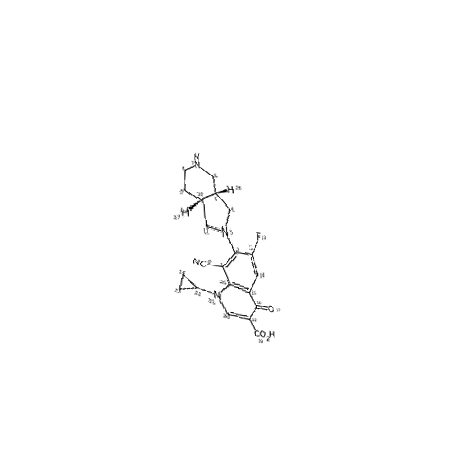 N#Cc1c(N2C[C@H]3CNCC[C@H]3C2)c(F)cc2c(=O)c(C(=O)O)cn(C3CC3)c12